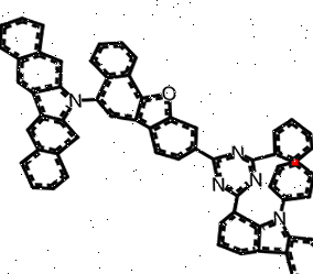 c1ccc(-c2nc(-c3ccc4c(c3)oc3c5ccccc5c(-n5c6cc7ccccc7cc6c6cc7ccccc7cc65)cc43)nc(-c3cccc4c5ccccc5n(-c5ccccc5)c34)n2)cc1